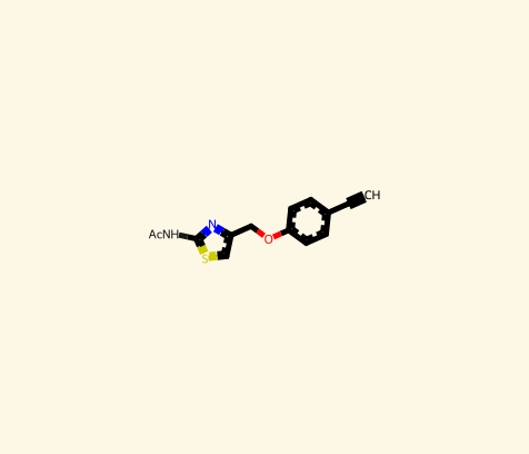 C#Cc1ccc(OCc2csc(NC(C)=O)n2)cc1